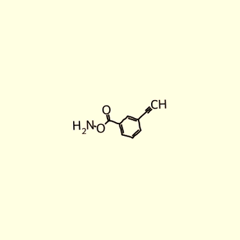 C#Cc1cccc(C(=O)ON)c1